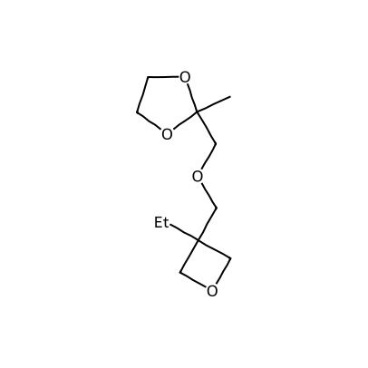 CCC1(COCC2(C)OCCO2)COC1